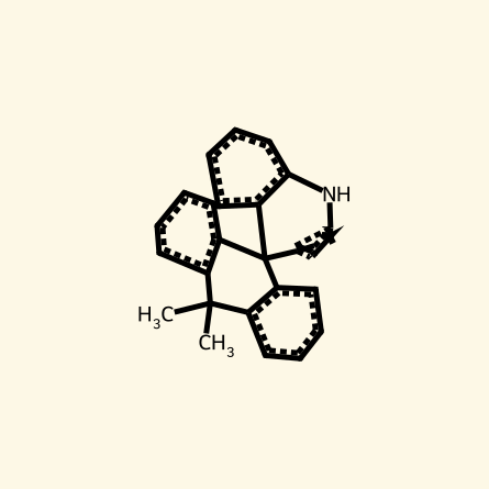 CC1(C)c2ccccc2C2(c3ccccc3Nc3ccccc32)c2ccccc21